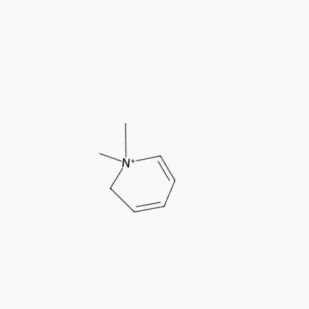 C[N+]1(C)C=CC=CC1